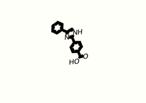 O=C(O)c1ccc(-c2nc(-c3ccccc3)c[nH]2)cc1